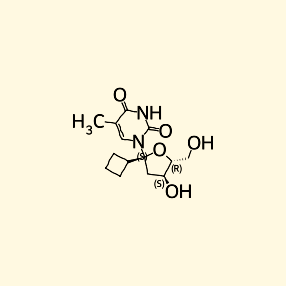 Cc1cn([C@@]2(C3CCC3)C[C@H](O)[C@@H](CO)O2)c(=O)[nH]c1=O